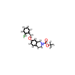 CC(C)(C)OC(=O)N1CCc2ccc(OCc3ccccc3F)cc2C1